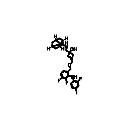 OC1(CNC2[C@H]3C[C@@H]4C[C@@H](C[C@H]2C4)C3)CN(COCc2ccc(F)c(F)c2Nc2ccc(I)cc2F)C1